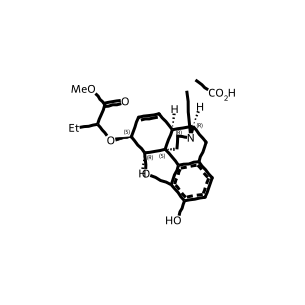 CC(=O)O.CCC(O[C@H]1C=C[C@H]2[C@H]3Cc4ccc(O)c5c4[C@@]2(CCN3C)[C@H]1O5)C(=O)OC